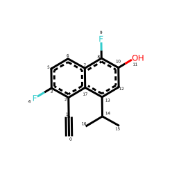 C#Cc1c(F)ccc2c(F)c(O)cc(C(C)C)c12